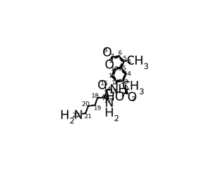 CC(=O)O.Cc1cc(=O)oc2cc(NC(=O)[C@@H](N)CCCCN)ccc12